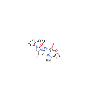 Cc1ccc(C(=O)O)c(N2Cc3c(C)ccc(Nc4c(N[C@@H](c5ccc(C)o5)C(C)(C)C)c(=O)c4=O)c3C2=O)c1